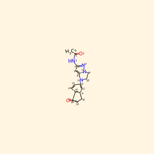 CC(=O)Nc1cc2n(n1)CCN2c1ccc2c(c1)CCC2=O